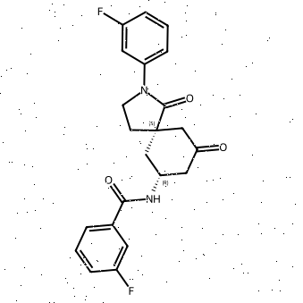 O=C1C[C@H](NC(=O)c2cccc(F)c2)C[C@@]2(CCN(c3cccc(F)c3)C2=O)C1